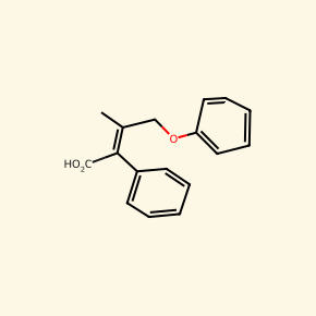 CC(COc1ccccc1)=C(C(=O)O)c1ccccc1